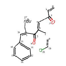 C=CC(=O)C=C(C)C(=O)C(=Cc1ccccc1)CCCC.C=CCl